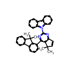 CC1(C)C=Cc2nc(-n3c4ccccc4c4ccccc43)nc(-c3cccc4c3C(C)(C)c3ccccc3-4)c21